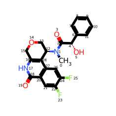 CN(C(=O)[C@@H](O)c1ccccc1)[C@@H]1COCc2[nH]c(=O)c3cc(F)c(F)cc3c21